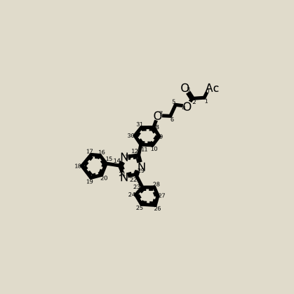 CC(=O)CC(=O)OCCOc1ccc(-c2nc(-c3ccccc3)nc(-c3ccccc3)n2)cc1